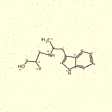 CC(Cc1c[nH]c2ccccc12)NCC(F)CO